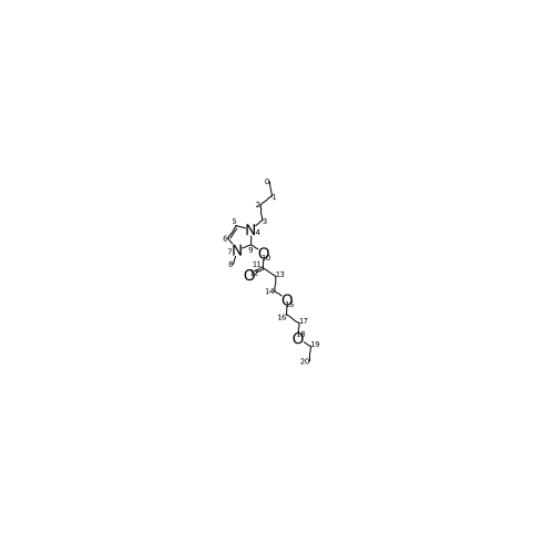 CCCCN1C=CN(C)C1OC(=O)CCOCCOCC